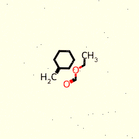 C=C1CCCCC1.CCOC=O